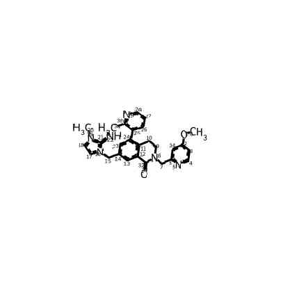 COc1ccnc(CN2CCc3c(cc(Cn4ccn(C)c4=N)cc3-c3cccnc3C)C2=O)c1